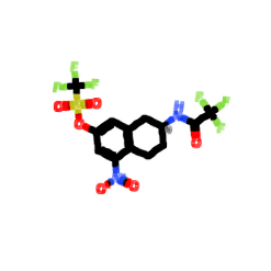 O=C(N[C@H]1CCc2c(cc(OS(=O)(=O)C(F)(F)F)cc2[N+](=O)[O-])C1)C(F)(F)F